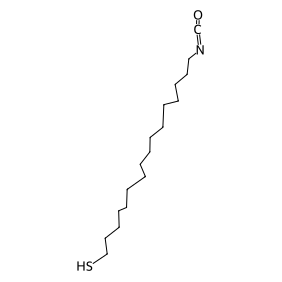 O=C=NCCCCCCCCCCCCCCCCS